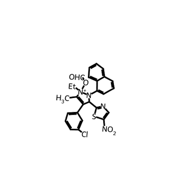 CC[N+]1(OC=O)C(C)=C(c2cccc(Cl)c2)C(c2ncc([N+](=O)[O-])s2)N1c1cccc2ccccc12